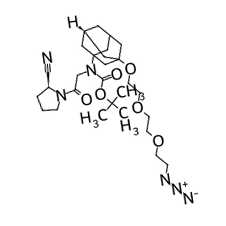 CC(C)(C)OC(=O)N(CC(=O)N1CCC[C@H]1C#N)C12CC3C[C@H](CC(OCCOCCOCCN=[N+]=[N-])(C3)C1)C2